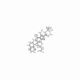 C=C(C)OC(=O)Cn1c(=O)n(Cc2ccc3nccnc3c2)c(=O)c2c1nc(N1CCCC(N)C1)n2CC